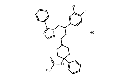 CC(=O)NC1(c2ccccc2)CCN(CCC(Cn2nnnc2-c2ccccc2)c2ccc(Cl)c(Cl)c2)CC1.Cl